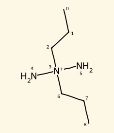 CCC[N+](N)(N)CCC